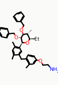 CC[C@H]1O[C@@H](c2cc(Cc3ccc(OCCN)cc3C)c(C)cc2C)[C@H](OCc2ccccc2)[C@@H](OCc2ccccc2)[C@@H]1C